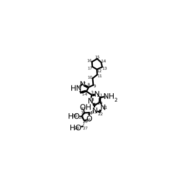 Nc1nc(-c2c[nH]nc2CCCC2CCCCC2)nc2c1ncn2[C@@H]1O[C@H](CO)[C@@H](O)[C@H]1O